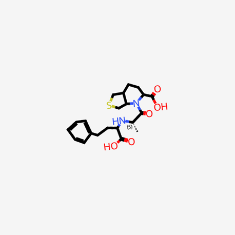 C[C@H](NC(CCc1ccccc1)C(=O)O)C(=O)N1C(C(=O)O)CCC2CSCC21